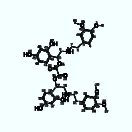 COc1ccc(CCNCC(OC(=O)C(=O)OC(CNCCc2ccc(OC)c(OC)c2)c2ccc(O)cc2O)c2ccc(O)cc2O)cc1OC